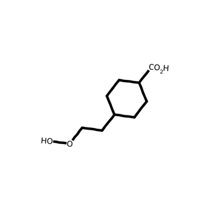 O=C(O)C1CCC(CCOO)CC1